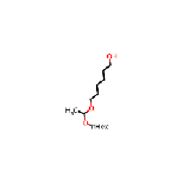 CCCCCCOC(C)OCCCCCCO